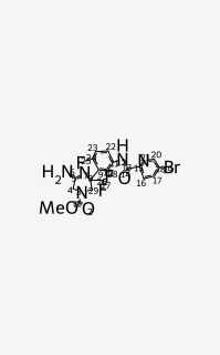 COC(=O)N1CC(N)=NC(c2cc(NC(=O)c3ccc(Br)cn3)ccc2F)(C(F)F)C1